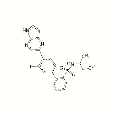 CC(CO)NS(=O)(=O)c1ccccc1-c1ccc(-c2cnc3[nH]ccc3n2)c(F)c1